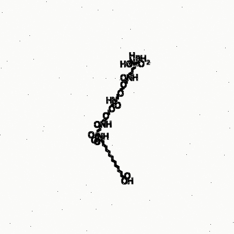 BC(=O)[C@H](CCCCNC(=O)COCCOCCNC(=O)COCCOCCNC(=O)CC[C@H](NC(=O)CCCCCCCCCCCCCCC(=O)O)C(=O)O)NO